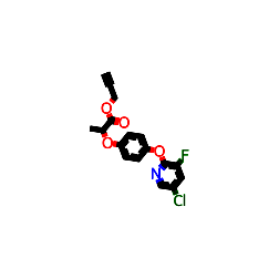 C#CCOC(=O)C(C)Oc1ccc(Oc2ncc(Cl)cc2F)cc1